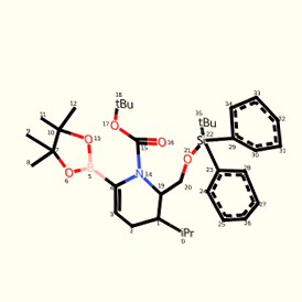 CC(C)C1CC=C(B2OC(C)(C)C(C)(C)O2)N(C(=O)OC(C)(C)C)C1CO[Si](c1ccccc1)(c1ccccc1)C(C)(C)C